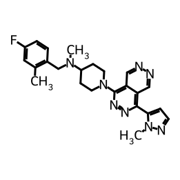 Cc1cc(F)ccc1CN(C)C1CCN(c2nnc(-c3ccnn3C)c3cnncc23)CC1